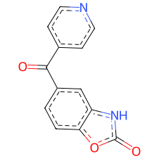 O=C(c1ccncc1)c1ccc2oc(=O)[nH]c2c1